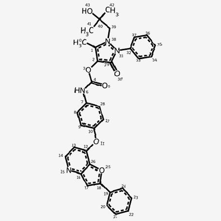 Cc1c(OC(=O)Nc2ccc(Oc3ccnc4cc(-c5ccccc5)oc34)cc2)c(=O)n(-c2ccccc2)n1CC(C)(C)O